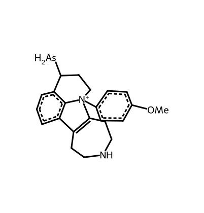 COc1ccc([N+]23CCC([AsH2])c4cccc(c42)C2=C3CCNCC2)cc1